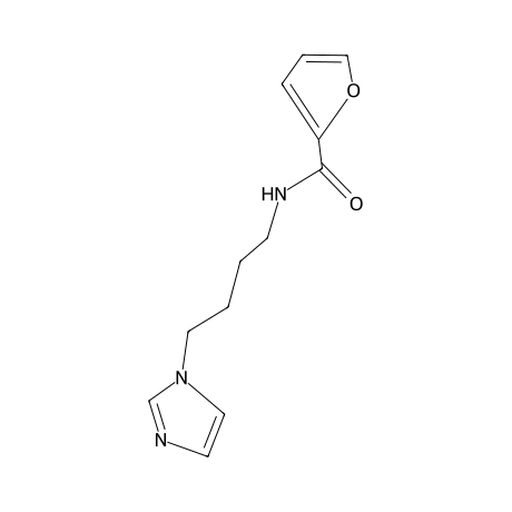 O=C(NCCCCn1ccnc1)c1ccco1